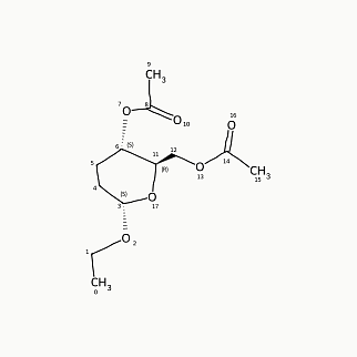 CCO[C@@H]1CC[C@H](OC(C)=O)[C@@H](COC(C)=O)O1